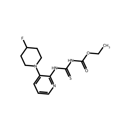 CCOC(=O)NC(=S)Nc1ncccc1N1CCC(F)CC1